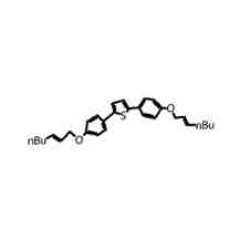 CCCCC=CCOc1ccc(-c2ccc(-c3ccc(OCC=CCCCC)cc3)s2)cc1